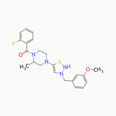 COc1cccc(CN2C=C(N3CCN(C(=O)c4ccccc4F)C(C)C3)SN2)c1